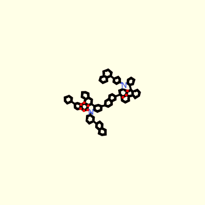 c1ccc(-c2ccc3cc(N(c4cccc(-c5ccc6ccccc6c5)c4)c4ccc(-c5ccc6cc(-c7cccc(N(c8ccc(-c9cccc%10ccccc9%10)cc8)c8ccccc8-c8cc9ccccc9c9ccccc89)c7)ccc6c5)cc4-c4cc5ccccc5c5ccccc45)ccc3c2)cc1